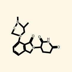 CC1CN(c2cccc3c2C(=O)N(C2CCC(=O)NC2=O)C3)CCN1C